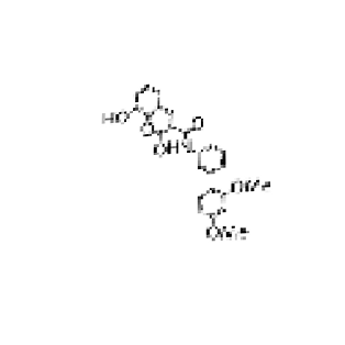 COc1ccc(-c2cccc(NC(=O)c3cc4cccc(O)c4oc3=O)c2)c(OC)c1